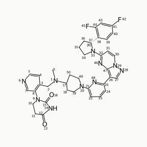 CN(Cc1ccncc1N1CCC(=O)NC1=O)C1CCN(c2cccc(-c3cnn4ccc(N5CCC[C@@H]5c5ccc(F)cc5F)nc34)n2)CC1